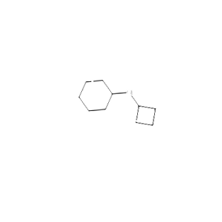 C1CC[C](NC2CCC2)CC1